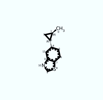 C[C@@H]1C[C@H]1c1ccc2scnc2c1